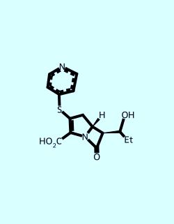 CCC(O)[C@H]1C(=O)N2C(C(=O)O)=C(Sc3ccncc3)C[C@H]12